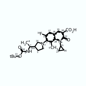 Cc1c(N2CCC([C@H](C)NC(=O)OC(C)(C)C)C2)c(F)cc2cc(C(=O)O)c(=O)n(C3CC3)c12